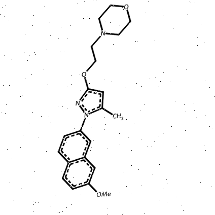 COc1ccc2ccc(-n3nc(OCCN4CCOCC4)cc3C)cc2c1